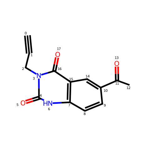 C#CCn1c(=O)[nH]c2ccc(C(C)=O)cc2c1=O